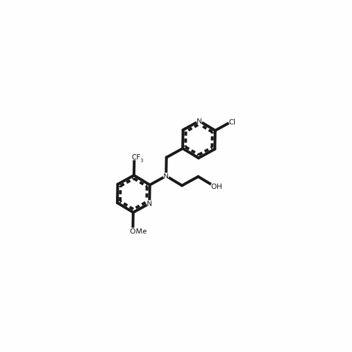 COc1ccc(C(F)(F)F)c(N(CCO)Cc2ccc(Cl)nc2)n1